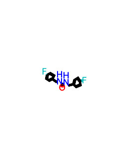 O=C(NCc1ccc(F)cc1)NCc1ccc(F)cc1